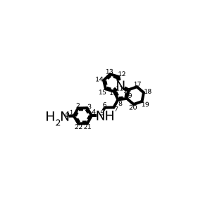 Nc1ccc(NCCc2c3c(n4ccccc24)CCCC3)cc1